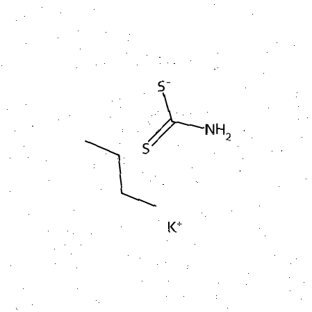 CCCC.NC(=S)[S-].[K+]